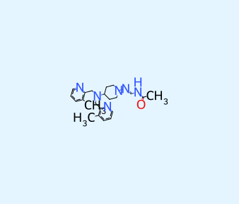 CC(=O)NC=NN1CCC(N(Cc2ncccc2C)Cc2ncccc2C)CC1